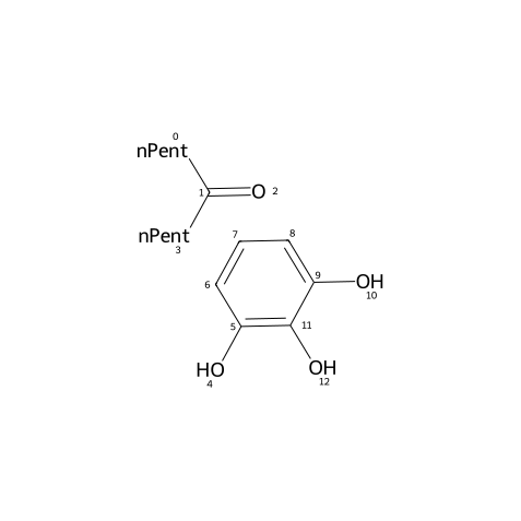 CCCCCC(=O)CCCCC.Oc1cccc(O)c1O